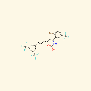 O=C(O)N[C@H](CCCC=Cc1cc(C(F)(F)F)cc(C(F)(F)F)c1)c1cc(C(F)(F)F)ccc1Br